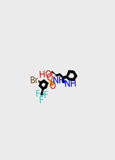 O=S(=O)(N[C@@H](CO)Cc1c[nH]c2ccccc12)c1cc(Br)cc(C(F)(F)F)c1